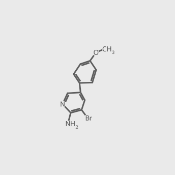 COc1ccc(-c2cnc(N)c(Br)c2)cc1